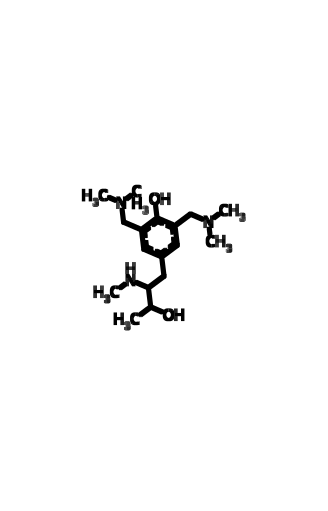 CNC(Cc1cc(CN(C)C)c(O)c(CN(C)C)c1)C(C)O